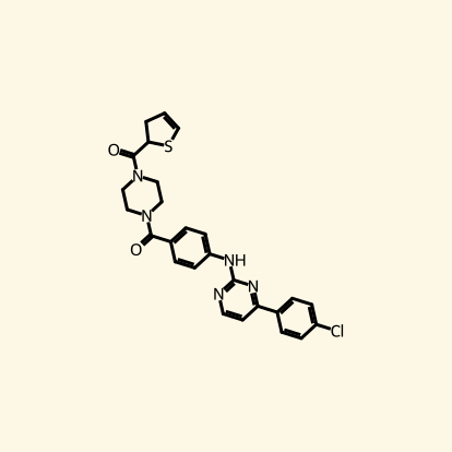 O=C(c1ccc(Nc2nccc(-c3ccc(Cl)cc3)n2)cc1)N1CCN(C(=O)C2CC=CS2)CC1